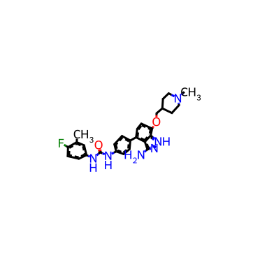 Cc1cc(NC(=O)Nc2ccc(-c3ccc(OCC4CCN(C)CC4)c4[nH]nc(N)c34)cc2)ccc1F